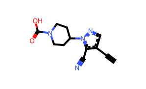 C#Cc1cnn(C2CCN(C(=O)O)CC2)c1C#N